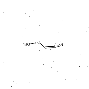 [N-]=[N+]=COO